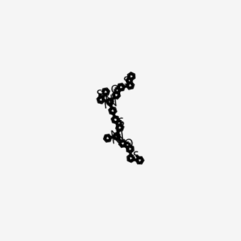 c1ccc(-c2nc(-c3ccc4c(c3)oc3ccc(-c5cccc6c5sc5ccccc56)cc34)nc(-c3ccc4sc5cc(-c6ccc(-c7nc(-c8ccc9c(c8)oc8ccc(-c%10cccc%11c%10sc%10ccccc%10%11)cc89)nc(-c8cccc9sc%10ccccc%10c89)n7)cc6)ccc5c4c3)n2)cc1